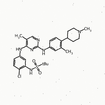 Cc1cc(Nc2ncc(C)c(Nc3ccc(Cl)c(NS(=O)(=O)C(C)(C)C)c3)n2)ccc1C1CCN(C)CC1